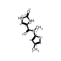 Cc1csc(N(C)C(=O)c2c[nH]c(=O)[nH]2)c1